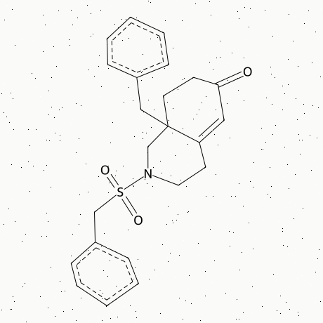 O=C1C=C2CCN(S(=O)(=O)Cc3ccccc3)CC2(Cc2ccccc2)CC1